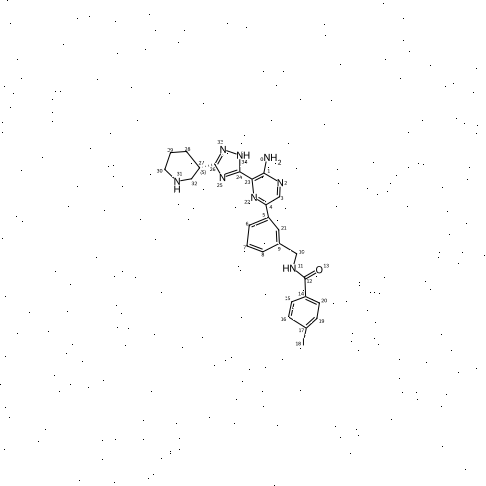 Nc1ncc(-c2cccc(CNC(=O)c3ccc(I)cc3)c2)nc1-c1nc([C@H]2CCCNC2)n[nH]1